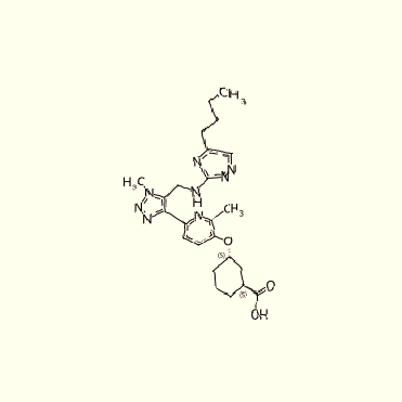 CCCCc1cnnc(NCc2c(-c3ccc(O[C@H]4CCC[C@H](C(=O)O)C4)c(C)n3)nnn2C)n1